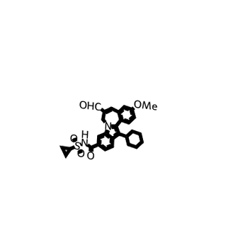 COc1ccc2c(c1)C=C(C=O)Cn1c-2c(C2CCCCC2)c2ccc(C(=O)NS(=O)(=O)C3CC3)cc21